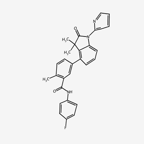 Cc1ccc(-c2cccc3c2C(C)(C)C(=O)N3c2ccccn2)cc1C(=O)Nc1ccc(F)cc1